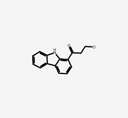 O=C(CCCl)c1cccc2c1[nH]c1ccccc12